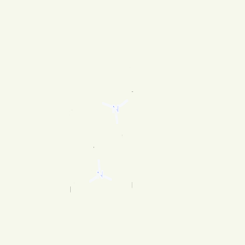 CCN(CCN(C)C)c1ccccc1